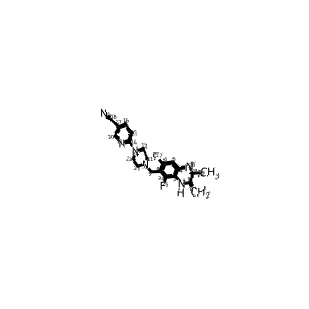 C=C1Nc2c(cc(F)c(CN3CCN(c4ccc(C#N)cn4)CC3)c2F)N=C1C